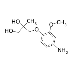 COc1cc(N)ccc1OCC(C)(O)CO